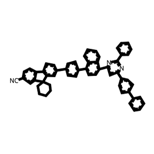 N#Cc1ccc2c(c1)C1(CCCCC1)c1cc(-c3ccc(-c4ccc(-c5cc(-c6ccc(-c7ccccc7)cc6)nc(-c6ccccc6)n5)c5ccccc45)cc3)ccc1-2